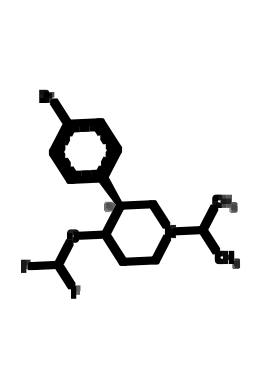 CC(C)N1CCC(OC(F)F)[C@@H](c2ccc(Br)cc2)C1